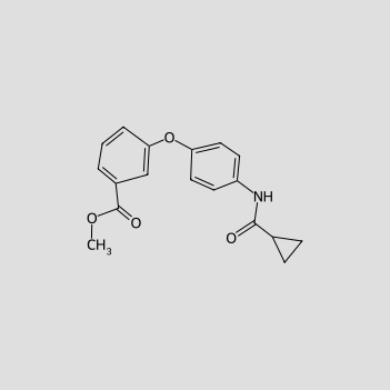 COC(=O)c1cccc(Oc2ccc(NC(=O)C3CC3)cc2)c1